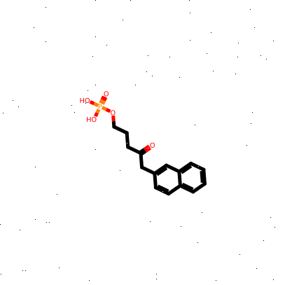 O=C(CCCOP(=O)(O)O)Cc1ccc2ccccc2c1